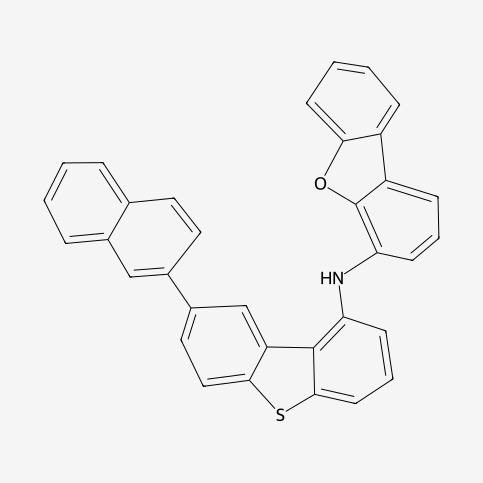 c1ccc2cc(-c3ccc4sc5cccc(Nc6cccc7c6oc6ccccc67)c5c4c3)ccc2c1